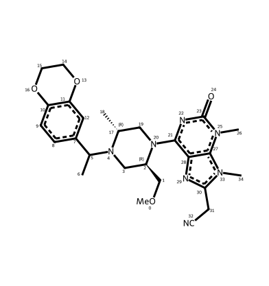 COC[C@H]1CN(C(C)c2ccc3c(c2)OCCO3)[C@H](C)CN1c1nc(=O)n(C)c2c1nc(CC#N)n2C